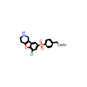 COCc1ccc(S(=O)(=O)c2cc(Cl)c3oc4c(c3c2)CNCC4)cc1